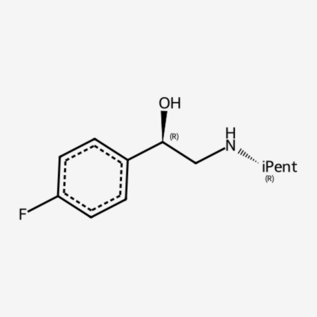 CCC[C@@H](C)NC[C@H](O)c1ccc(F)cc1